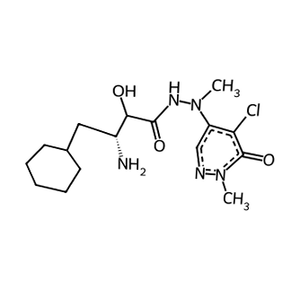 CN(NC(=O)C(O)[C@H](N)CC1CCCCC1)c1cnn(C)c(=O)c1Cl